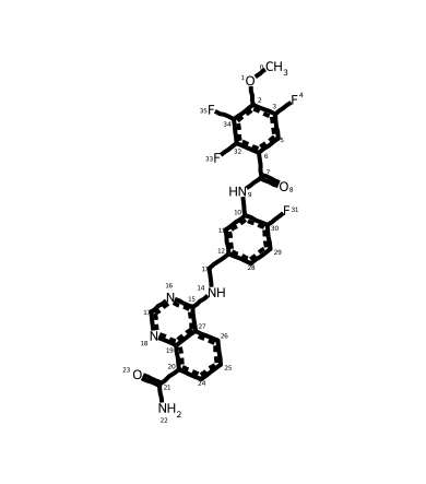 COc1c(F)cc(C(=O)Nc2cc(CNc3ncnc4c(C(N)=O)cccc34)ccc2F)c(F)c1F